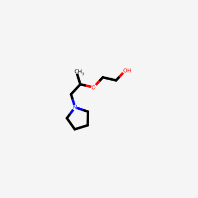 CC(CN1CCCC1)OCCO